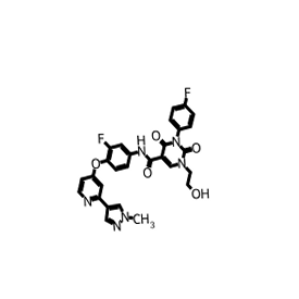 Cn1cc(-c2cc(Oc3ccc(NC(=O)c4cn(CCO)c(=O)n(-c5ccc(F)cc5)c4=O)cc3F)ccn2)cn1